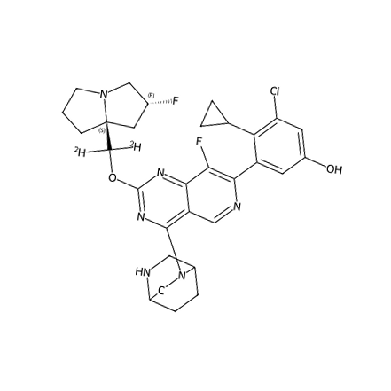 [2H]C([2H])(Oc1nc(N2CC3CCC2CN3)c2cnc(-c3cc(O)cc(Cl)c3C3CC3)c(F)c2n1)[C@@]12CCCN1C[C@H](F)C2